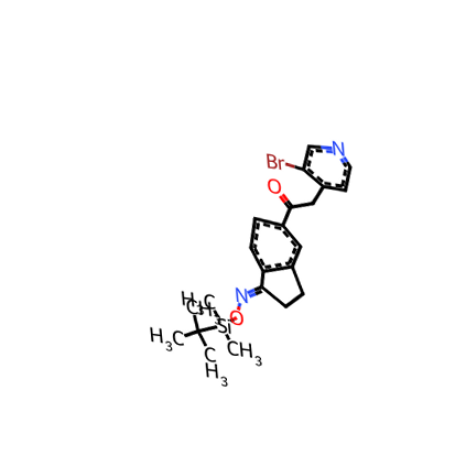 CC(C)(C)[Si](C)(C)ON=C1CCc2cc(C(=O)Cc3ccncc3Br)ccc21